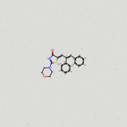 O=C1N=C(N2CCOCC2)SC1=CC(=Cc1ccccc1)c1ccccc1